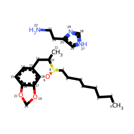 CCCCCCCC[S+]([O-])C(C)Cc1ccc2c(c1)OCO2.NCCc1c[nH]cn1